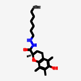 CCCCCCCCCCCCCCCCNNC(=O)[C@@]1(C)CCc2c(C)c(O)c(C)c(C)c2O1